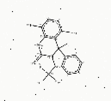 CC1(c2ccccc2)c2c(F)ccc(F)c2NC(=O)N1CC(F)(F)F